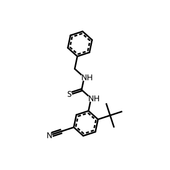 CC(C)(C)c1ccc(C#N)cc1NC(=S)NCc1ccccc1